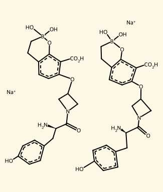 N[C@H](Cc1ccc(O)cc1)C(=O)N1CC(Oc2ccc3c(c2C(=O)O)O[B-](O)(O)CC3)C1.N[C@H](Cc1ccc(O)cc1)C(=O)N1CC(Oc2ccc3c(c2C(=O)O)O[B-](O)(O)CC3)C1.[Na+].[Na+]